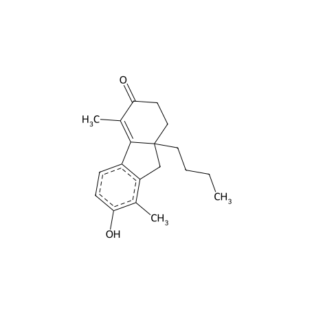 CCCCC12CCC(=O)C(C)=C1c1ccc(O)c(C)c1C2